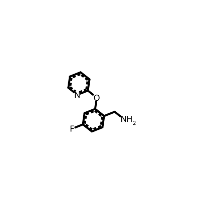 NCc1ccc(F)cc1Oc1ccccn1